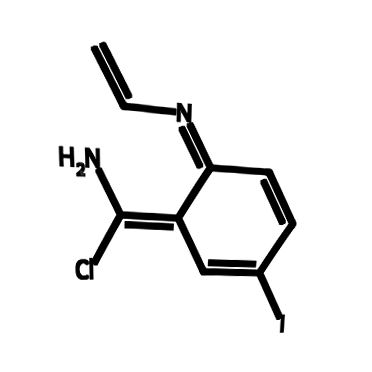 C=C/N=C1/C=CC(I)=C/C1=C(/N)Cl